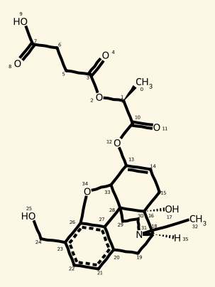 C[C@H](OC(=O)CCC(=O)O)C(=O)OC1=CC[C@@]2(O)[C@H]3Cc4ccc(CO)c5c4C2(CCN3C)C1O5